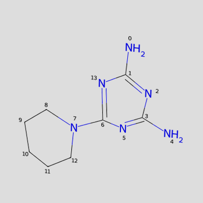 Nc1nc(N)nc(N2CCCCC2)n1